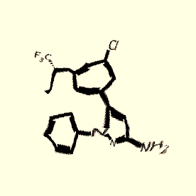 C[C@@H](c1cc(Cl)cc(-c2cc(N)nn2-c2ccccc2)c1)C(F)(F)F